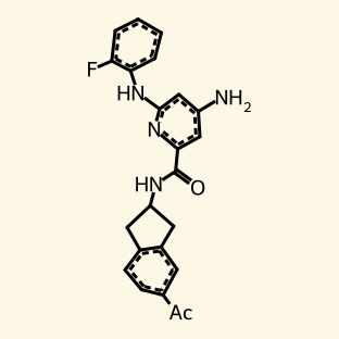 CC(=O)c1ccc2c(c1)CC(NC(=O)c1cc(N)cc(Nc3ccccc3F)n1)C2